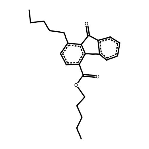 CCCCCOC(=O)c1ccc(CCCCC)c2c1-c1ccccc1C2=O